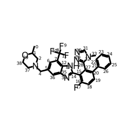 CC1CN(Cc2cc(C(F)(F)F)c3[nH]c(-c4c(F)ccc(-c5ccccc5)c4-c4nncn4C)nc3c2)CCO1